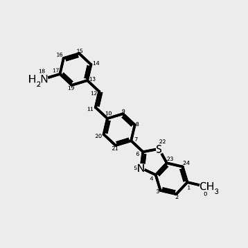 Cc1ccc2nc(-c3ccc(C=Cc4cccc(N)c4)cc3)sc2c1